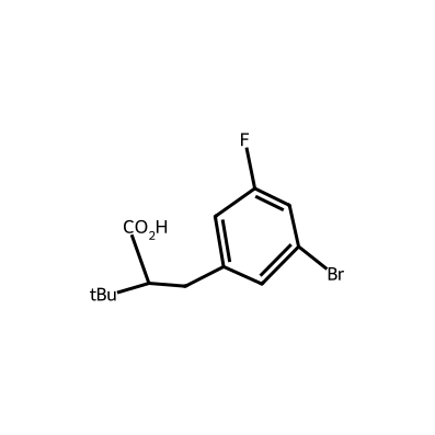 CC(C)(C)C(Cc1cc(F)cc(Br)c1)C(=O)O